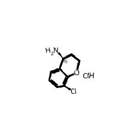 Cl.N[C@H]1CCOc2c(Cl)cccc21